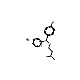 CN(C)CCOC(c1ccc(Cl)cc1)c1ccccn1.Cl